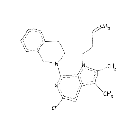 C=CCCn1c(C)c(C)c2cc(Cl)nc(N3CCc4ccccc4C3)c21